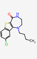 CCCCN1CCNC(=O)c2sc3ccc(Cl)cc3c21